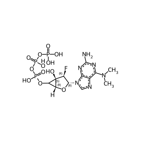 CN(C)c1nc(N)nc2c1ncn2[C@@H]1O[C@@H]2C(OP(=O)(O)OP(=O)(O)OP(=O)(O)O)[C@]2(O)[C@H]1F